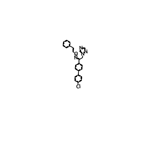 Clc1ccc(-c2ccc(C(Cn3cncn3)=NOC=Cc3ccccc3)cc2)cc1